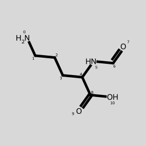 NCCCC(NC=O)C(=O)O